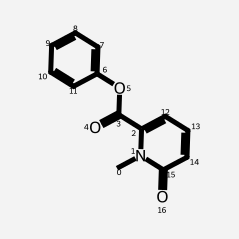 Cn1c(C(=O)Oc2ccccc2)cccc1=O